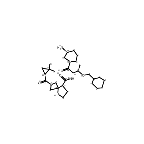 C[C@@H](OCC1CCCCC1)[C@H](NC(=O)C1CCOC12CN(C(=O)[C@H]1CC1(C)C)C2)C(=O)N1CCC[C@H](N)C1